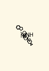 C[C@H](Nc1nnc(C[C@H]2CCc3ccccc32)o1)C(=O)N1CCC2(CC1)CC2